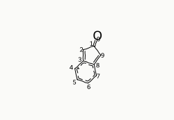 O=C1C=c2[c]cccc2=C1